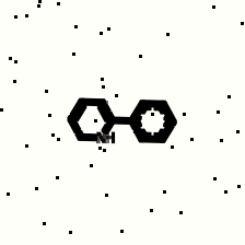 [C]1=C(c2ccccc2)NCC=C1